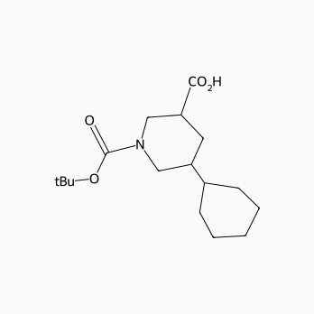 CC(C)(C)OC(=O)N1CC(C(=O)O)CC(C2CCCCC2)C1